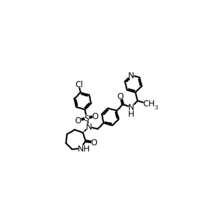 CC(NC(=O)c1ccc(CN([C@@H]2CCCCNC2=O)S(=O)(=O)c2ccc(Cl)cc2)cc1)c1ccncc1